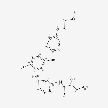 COCCOc1ccc(Nc2ncc(F)c(Nc3cccc(NC(=O)C(O)CO)c3)n2)cc1